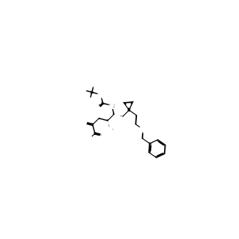 C=C(C[C@H](O)[C@H](CC1(CCOCc2ccccc2)CC1)NC(=O)OC(C)(C)C)C(=O)O